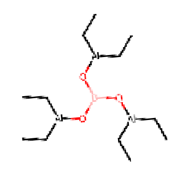 C[CH2][Al]([CH2]C)[O]B([O][Al]([CH2]C)[CH2]C)[O][Al]([CH2]C)[CH2]C